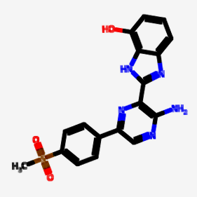 CS(=O)(=O)c1ccc(-c2cnc(N)c(-c3nc4cccc(O)c4[nH]3)n2)cc1